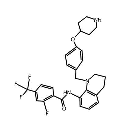 O=C(Nc1cccc2c1N(Cc1ccc(OC3CCNCC3)cc1)CCC2)c1ccc(C(F)(F)F)cc1F